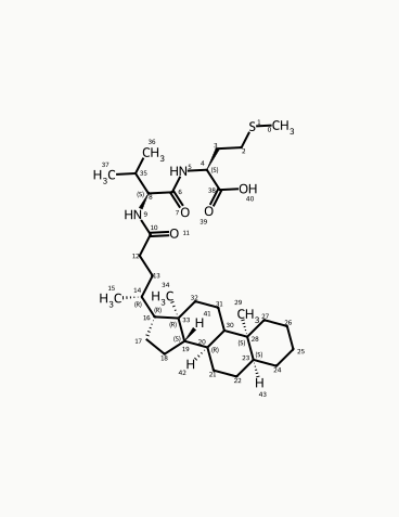 CSCC[C@H](NC(=O)[C@@H](NC(=O)CC[C@@H](C)[C@H]1CC[C@H]2[C@@H]3CC[C@@H]4CCCC[C@]4(C)C3CC[C@]12C)C(C)C)C(=O)O